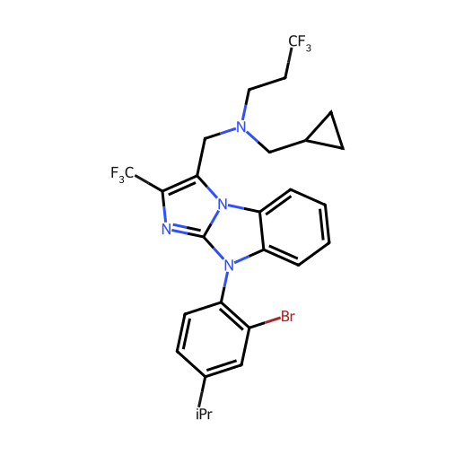 CC(C)c1ccc(-n2c3ccccc3n3c(CN(CCC(F)(F)F)CC4CC4)c(C(F)(F)F)nc23)c(Br)c1